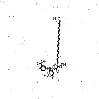 CCC=CCC=CCC=CCC=CCC=CCCCCOC(OC)C(=O)NC(CC(C)C)C(=O)Nc1ccc(O)c(C(=O)O)c1